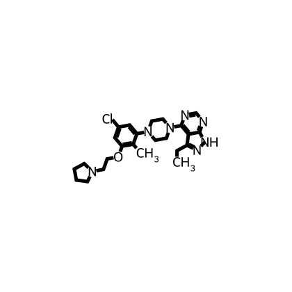 CCc1n[nH]c2ncnc(N3CCN(c4cc(Cl)cc(OCCN5CCCC5)c4C)CC3)c12